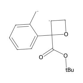 [CH2]c1ccccc1C1(C(=O)OC(C)(C)C)[CH]CO1